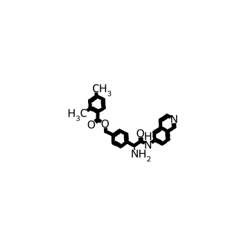 Cc1ccc(C(=O)OCc2ccc([C@@H](N)C(=O)Nc3ccc4cnccc4c3)cc2)c(C)c1